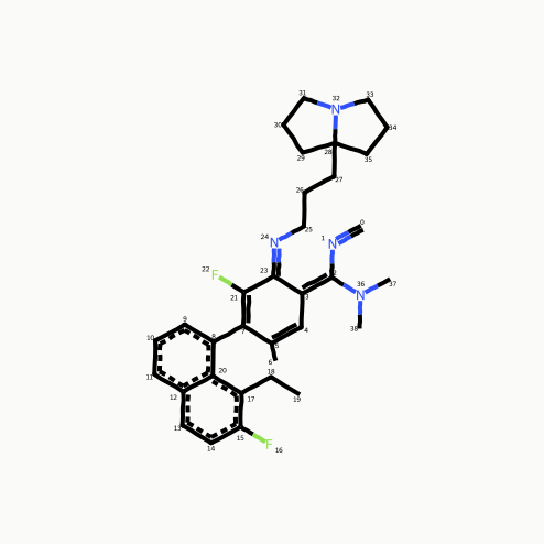 C=N/C(=C1/C=C(C)C(c2cccc3ccc(F)c(CC)c23)=C(F)/C1=N/CCCC12CCCN1CCC2)N(C)C